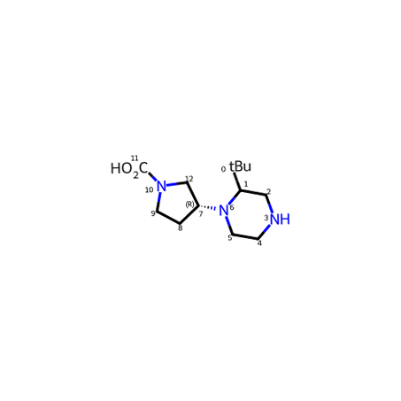 CC(C)(C)C1CNCCN1[C@@H]1CCN(C(=O)O)C1